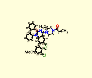 C=CC(=O)N1CCN(c2nc(=O)n(-c3ccccc3-c3ccccc3)c3cc(-c4cc(OC)cc(Cl)c4Cl)c(Cl)cc23)[C@@H](C)C1